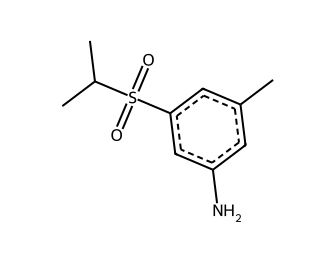 Cc1cc(N)cc(S(=O)(=O)C(C)C)c1